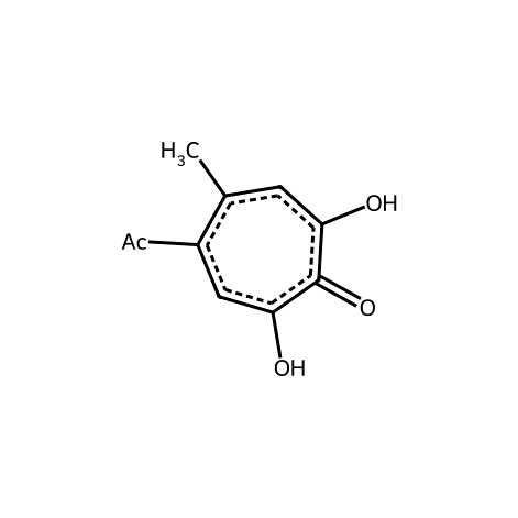 CC(=O)c1cc(O)c(=O)c(O)cc1C